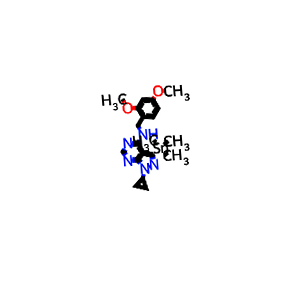 COc1ccc(CNc2ncnc3c2[c]([Sn]([CH3])([CH3])[CH3])nn3C2CC2)c(OC)c1